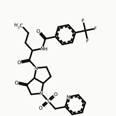 CCCC(NC(=O)c1ccc(C(F)(F)F)cc1)C(=O)N1CCC2C1C(=O)CN2S(=O)(=O)Cc1ccccn1